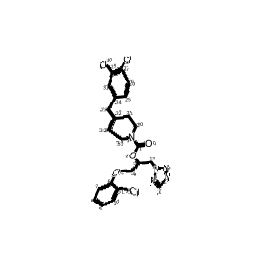 O=C(OC(COc1ccccc1Cl)Cn1ncnn1)N1CCC(Cc2ccc(Cl)c(Cl)c2)CC1